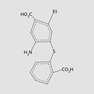 CCc1cc(Sc2ccccc2C(=O)O)c(N)cc1C(=O)O